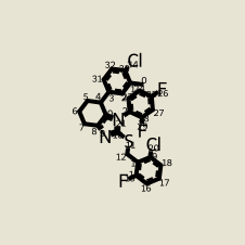 Cc1cc(C2CCCc3nc(SCc4c(F)cccc4Cl)n(-c4ccc(F)cc4F)c32)ccc1Cl